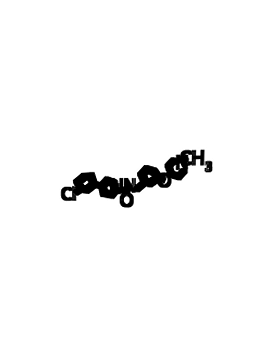 CN1CCC(Oc2cccc(CNC(=O)c3ccc(-c4cccc(Cl)c4)cc3)c2)CC1